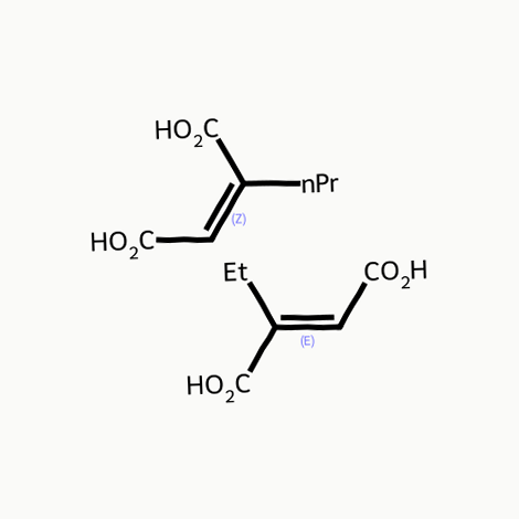 CC/C(=C\C(=O)O)C(=O)O.CCC/C(=C/C(=O)O)C(=O)O